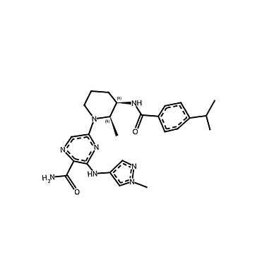 CC(C)c1ccc(C(=O)N[C@@H]2CCCN(c3cnc(C(N)=O)c(Nc4cnn(C)c4)n3)[C@@H]2C)cc1